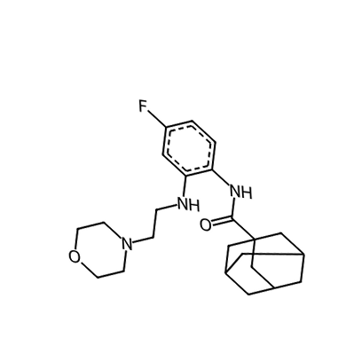 O=C(Nc1ccc(F)cc1NCCN1CCOCC1)C12CC3CC(CC(C3)C1)C2